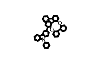 c1ccc(-c2cccc3c2-c2cccc(-c4ccc5c(c4)c4ccccc4n5-c4ccccc4)c2Oc2ccccc2-c2ccccc2O3)cc1